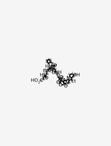 CCc1c2c(nc3ccc(O)cc13)-c1cc3c(c(=O)n1C2)COC(=O)[C@@]3(CC)OC(=O)COCNC(=O)CNC(=O)[C@H](Cc1ccccc1)NC(=O)CNC(=O)CNC(=O)CCC(=O)O